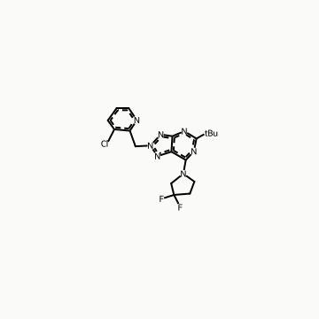 CC(C)(C)c1nc(N2CCC(F)(F)C2)c2nn(Cc3ncccc3Cl)nc2n1